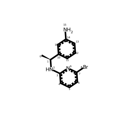 C[C@H](Nc1cccc(Br)n1)c1cccc(N)c1